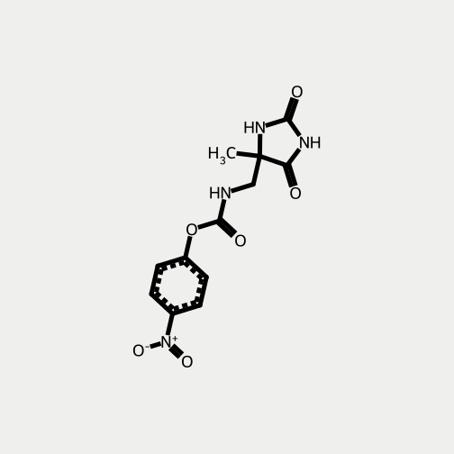 CC1(CNC(=O)Oc2ccc([N+](=O)[O-])cc2)NC(=O)NC1=O